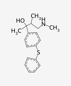 CNCC(C)C(C)(O)c1ccc(Sc2ccccc2)cc1